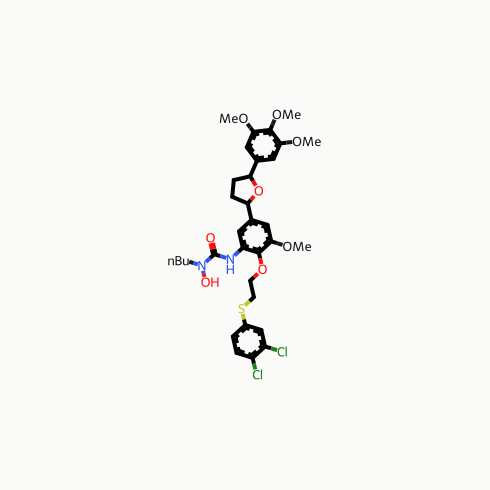 CCCCN(O)C(=O)Nc1cc(C2CCC(c3cc(OC)c(OC)c(OC)c3)O2)cc(OC)c1OCCSc1ccc(Cl)c(Cl)c1